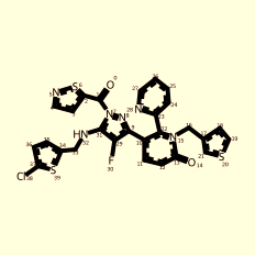 O=C(c1ccns1)n1nc(-c2ccc(=O)n(Cc3ccsc3)c2-c2ccccn2)c(F)c1NCc1ccc(Cl)s1